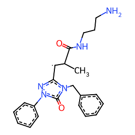 CC([CH]c1nn(-c2ccccc2)c(=O)n1Cc1ccccc1)C(=O)NCCCN